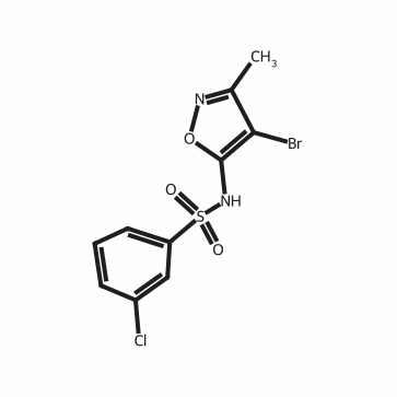 Cc1noc(NS(=O)(=O)c2cccc(Cl)c2)c1Br